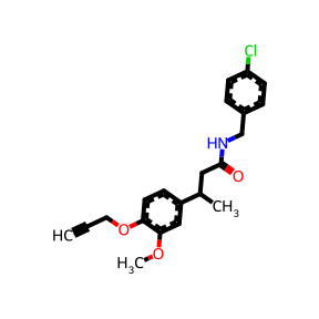 C#CCOc1ccc(C(C)CC(=O)NCc2ccc(Cl)cc2)cc1OC